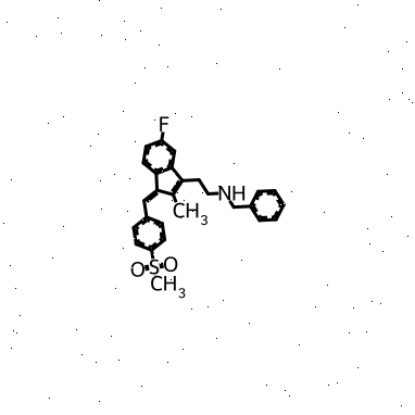 CC1=C(CCNCc2ccccc2)c2cc(F)ccc2/C1=C/c1ccc(S(C)(=O)=O)cc1